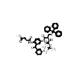 CC(C)(C)OC(=O)NC(CSC(c1ccccc1)(c1ccccc1)c1ccccc1)C(=O)Nc1ccc(NC(=O)CCC(=O)O)c(C(=O)c2ccccc2)c1